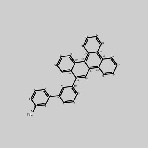 N#Cc1cccc(-c2cccc(-c3cc4c5ccccc5c5ccccc5c4c4ccccc34)c2)c1